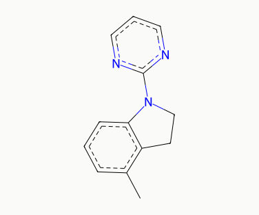 Cc1cccc2c1CCN2c1ncccn1